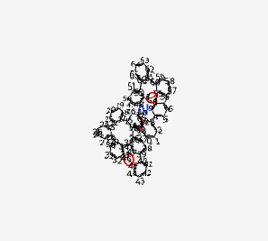 c1ccc(-c2ccccc2N(c2ccc3c(c2)c2ccccc2c2ccccc2c2ccccc2c2c3ccc3c4ccccc4oc32)c2cccc3c2Oc2ccccc2-c2ccccc2-3)cc1